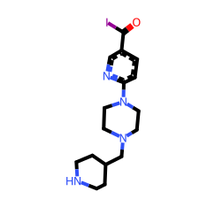 O=C(I)c1ccc(N2CCN(CC3CCNCC3)CC2)nc1